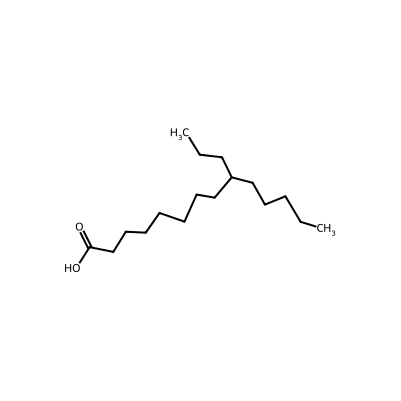 CCCCCC(CCC)CCCCCCCC(=O)O